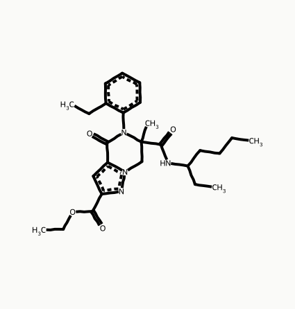 CCCCC(CC)NC(=O)C1(C)Cn2nc(C(=O)OCC)cc2C(=O)N1c1ccccc1CC